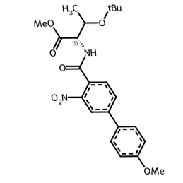 COC(=O)[C@@H](NC(=O)c1ccc(-c2ccc(OC)cc2)cc1[N+](=O)[O-])C(C)OC(C)(C)C